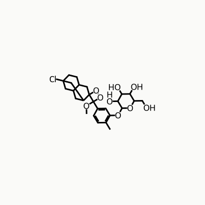 COC1(c2ccc(C)c(OC3OC(CO)C(O)C(O)C3O)c2)OOC12CC1CCC3(Cl)CC1CC2C3